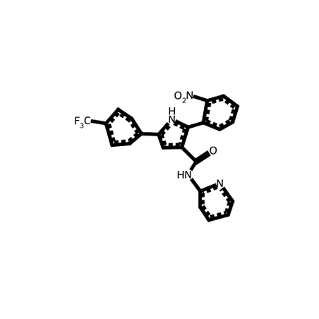 O=C(Nc1ccccn1)c1cc(-c2ccc(C(F)(F)F)cc2)[nH]c1-c1ccccc1[N+](=O)[O-]